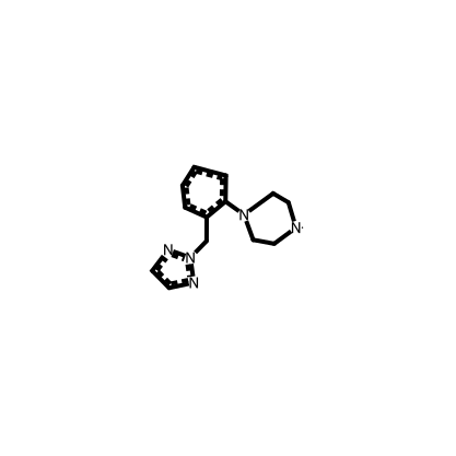 c1ccc(N2CC[N]CC2)c(Cn2nccn2)c1